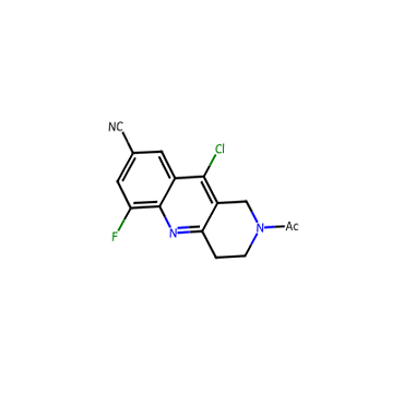 CC(=O)N1CCc2nc3c(F)cc(C#N)cc3c(Cl)c2C1